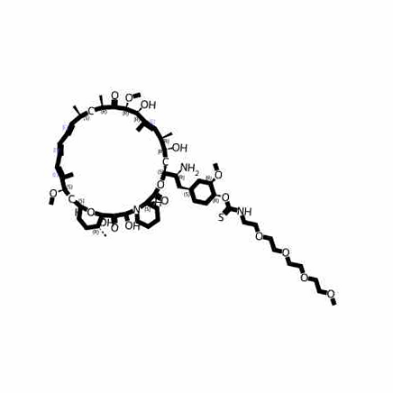 COCCOCCOCCOCCNC(=S)O[C@@H]1CC[C@@H](C[C@@H](N)[C@@H]2C[C@@H](O)[C@H](C)/C=C(\C)[C@@H](O)[C@@H](OC)C(=O)[C@H](C)C[C@H](C)/C=C/C=C/C=C(\C)[C@@H](OC)C[C@@H]3CC[C@@H](C)[C@@](O)(O3)C(=O)C(O)N3CCCC[C@H]3C(=O)O2)C[C@H]1OC